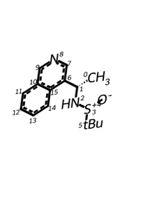 C[C@H](N[S+]([O-])C(C)(C)C)c1cncc2ccccc12